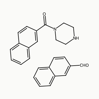 O=C(c1ccc2ccccc2c1)N1CCNCC1.O=Cc1ccc2ccccc2c1